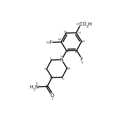 NC(=O)C1CCN(c2c(F)cc(C(=O)O)cc2F)CC1